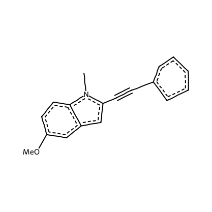 COc1ccc2c(c1)cc(C#Cc1ccccc1)n2C